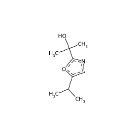 CC(C)c1cnc(C(C)(C)O)o1